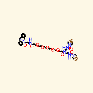 O=C(CCOCCOCCOCCOCCOCCC(=O)N(CCNC(=O)N1CCSSCC1)CCNC(=O)N1CCSSCC1)NCCC(=O)N1Cc2ccccc2/C=C\c2ccccc21